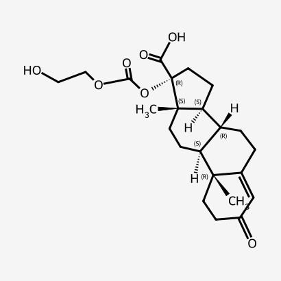 C[C@]12CCC(=O)C=C1CC[C@@H]1[C@@H]2CC[C@@]2(C)[C@H]1CC[C@]2(OC(=O)OCCO)C(=O)O